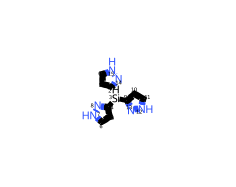 c1cc([SiH](c2cc[nH]n2)c2cc[nH]n2)n[nH]1